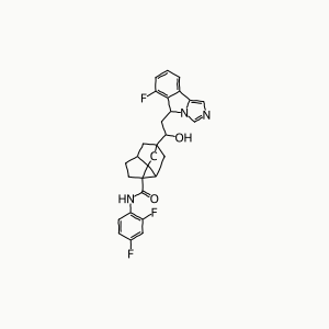 O=C(Nc1ccc(F)cc1F)C12CCC3CC4(C(O)CC5c6c(F)cccc6-c6cncn65)CC1C32C4